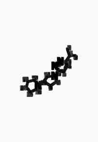 CC(C)c1ccc(N2CCC(N3CCCCC3)C2)nn1